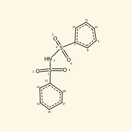 O=S(=O)(NS(=O)(=O)c1ccccc1)c1ccccc1